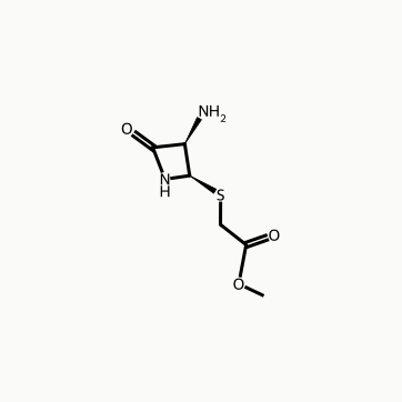 COC(=O)CS[C@H]1NC(=O)[C@H]1N